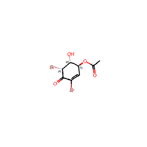 CC(=O)O[C@H]1C=C(Br)C(=O)[C@H](Br)[C@@H]1O